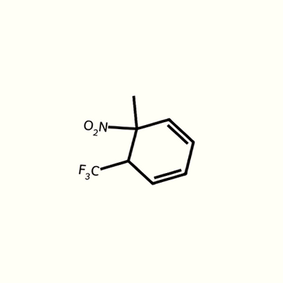 CC1([N+](=O)[O-])C=CC=CC1C(F)(F)F